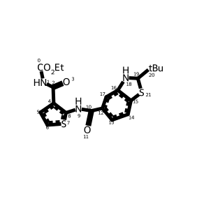 CCOC(=O)NC(=O)c1ccsc1NC(=O)c1ccc2c(c1)NC(C(C)(C)C)S2